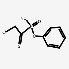 O=P(O)(Oc1ccccc1)C(=S)CCl